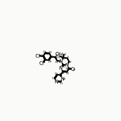 CC1(C)CCn2c(nc(-c3ccncn3)cc2=O)N1C[C@@H](O)c1ccc(Cl)c(Cl)c1